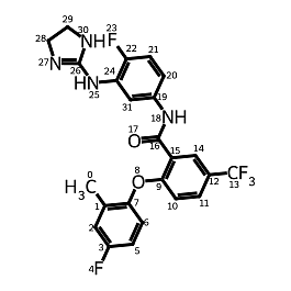 Cc1cc(F)ccc1Oc1ccc(C(F)(F)F)cc1C(=O)Nc1ccc(F)c(NC2=NCCN2)c1